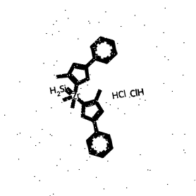 CC1=[C]([Zr]([CH3])([CH3])(=[SiH2])[C]2=C(C)C=C(c3ccccc3)C2)CC(c2ccccc2)=C1.Cl.Cl